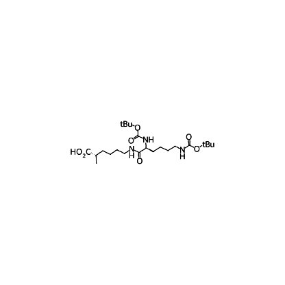 C[C@@H](CCCCNC(=O)[C@H](CCCCNC(=O)OC(C)(C)C)NC(=O)OC(C)(C)C)C(=O)O